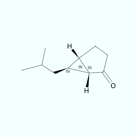 CC(C)C[C@H]1[C@@H]2CCC(=O)[C@@H]21